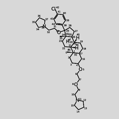 C[C@]12CCC(OCCOCCN3CCCC3)CC1CC[C@@H]1[C@H]2CC[C@@]2(C)[C@H]1CCC2(OCCN1CCCC1)c1ccc(Cl)cc1